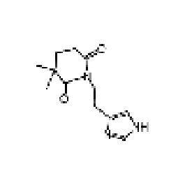 CC1(C)CCC(=O)N(CCc2c[nH]cn2)C1=O